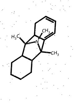 CN1C2(C)C3=CC=CCC3C1(C)C1CCCCC12